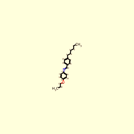 CCCCCCc1ccc(C=Nc2ccc(OCCC)cc2)cc1